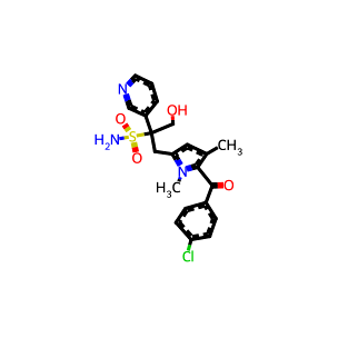 Cc1cc(CC(CO)(c2cccnc2)S(N)(=O)=O)n(C)c1C(=O)c1ccc(Cl)cc1